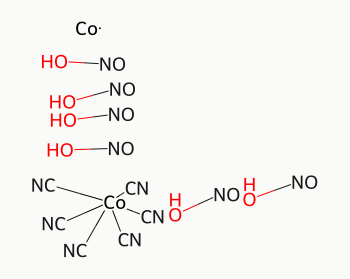 N#[C][Co]([C]#N)([C]#N)([C]#N)([C]#N)[C]#N.O=NO.O=NO.O=NO.O=NO.O=NO.O=NO.[Co]